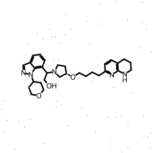 OCC(c1cccc2cnn(C3CCOCC3)c12)N1CC[C@@H](OCCCCc2ccc3c(n2)NCCC3)C1